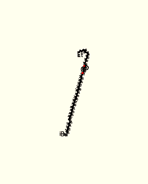 CC/C=C\C/C=C\C/C=C\CCCCCCCC(=O)OCCCCCCCCCCCCCCCCCCCCCCCCCCCCCCCCCCCCCC(C)CC